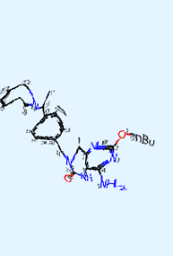 CCCCOc1nc(N)c2c(n1)CN(Cc1ccc(C(C)N3CCCC3)cc1)C(=O)N2